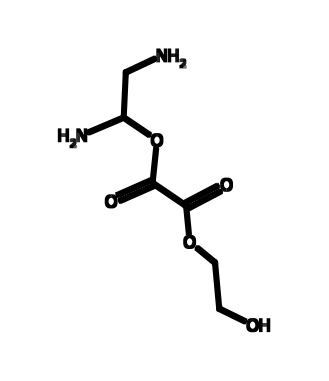 NCC(N)OC(=O)C(=O)OCCO